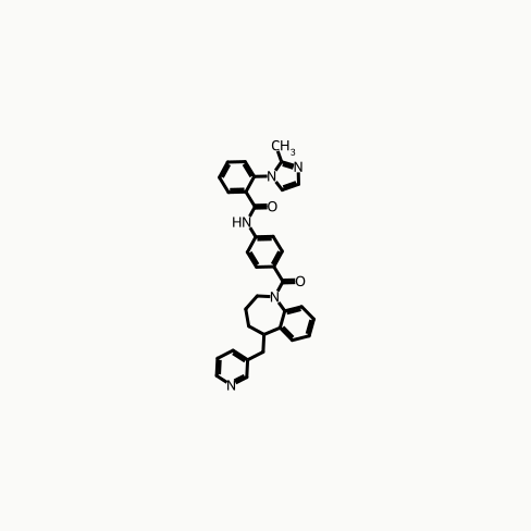 Cc1nccn1-c1ccccc1C(=O)Nc1ccc(C(=O)N2CCCC(Cc3cccnc3)c3ccccc32)cc1